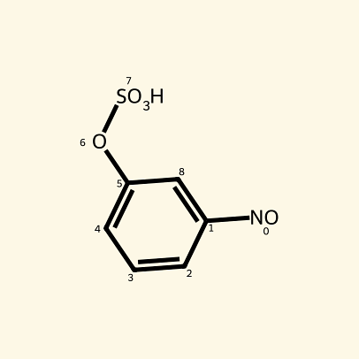 O=Nc1cccc(OS(=O)(=O)O)c1